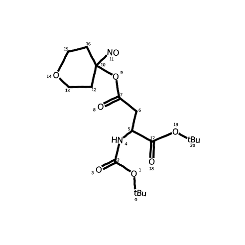 CC(C)(C)OC(=O)NC(CC(=O)OC1(N=O)CCOCC1)C(=O)OC(C)(C)C